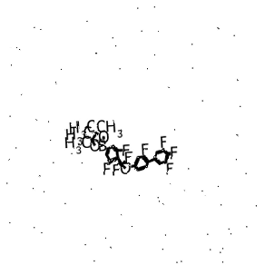 CC1(C)OB(c2cc(F)c(C(F)(F)Oc3ccc(-c4cc(F)c(F)c(F)c4)c(F)c3)c(F)c2)OC1(C)C